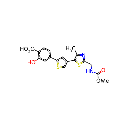 COC(=O)NCc1nc(C)c(-c2csc(-c3ccc(C(=O)O)c(O)c3)c2)s1